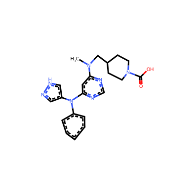 CN(CC1CCN(C(=O)O)CC1)c1cc(N(c2ccccc2)c2cn[nH]c2)ncn1